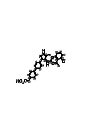 Cc1[nH]nc(-c2ccc(-c3ccc(CC(=O)O)cc3)cc2)c1NC(=O)O[C@H](C)c1ccccc1Cl